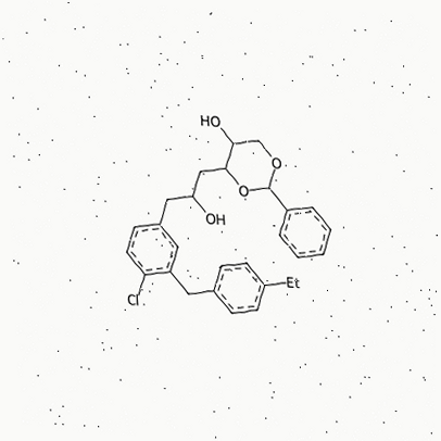 CCc1ccc(Cc2cc(CC(O)CC3OC(c4ccccc4)OCC3O)ccc2Cl)cc1